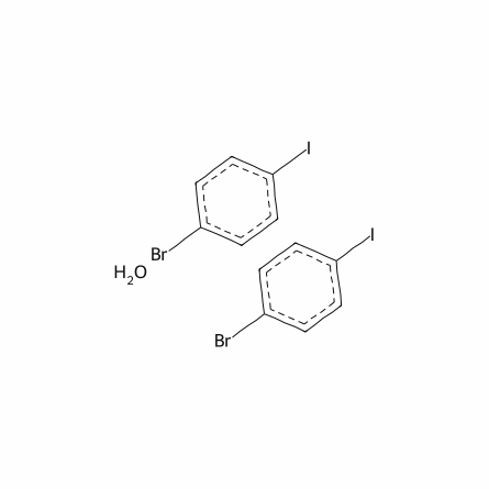 Brc1ccc(I)cc1.Brc1ccc(I)cc1.O